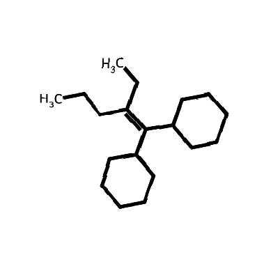 CCCC(CC)=C(C1CCCCC1)C1CCCCC1